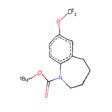 CC(C)(C)OC(=O)N1CCCCc2cc(OC(F)(F)F)ccc21